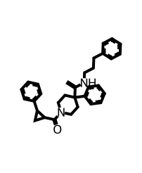 C=C(NCCCc1ccccc1)C1(c2ccccc2)CCN(C(=O)C2CC2c2ccccc2)CC1